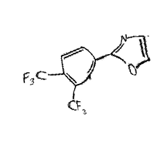 FC(F)(F)c1ccc(-c2n[c]co2)cc1C(F)(F)F